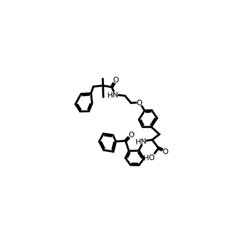 CC(C)(Cc1ccccc1)C(=O)NCCOc1ccc(CC(Nc2ccccc2C(=O)c2ccccc2)C(=O)O)cc1